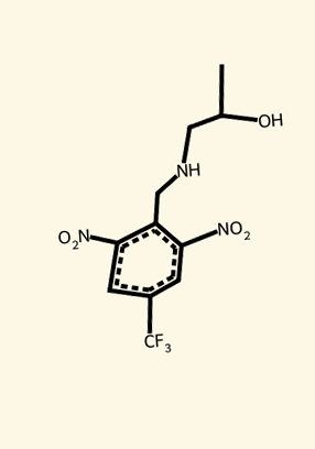 CC(O)CNCc1c([N+](=O)[O-])cc(C(F)(F)F)cc1[N+](=O)[O-]